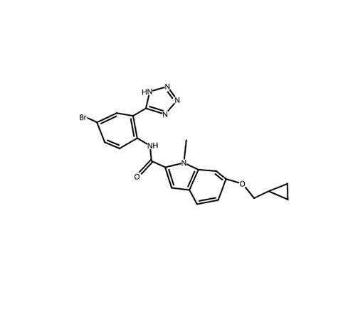 Cn1c(C(=O)Nc2ccc(Br)cc2-c2nnn[nH]2)cc2ccc(OCC3CC3)cc21